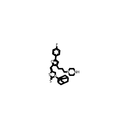 Fc1ccc(-c2cc(CCCN3CCNCC3)c(/C=C3\CN(C4C5CC6CC(C5)CC4C6)C(=S)S3)o2)cc1